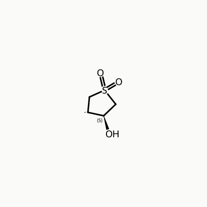 O=S1(=O)C[CH][C@H](O)C1